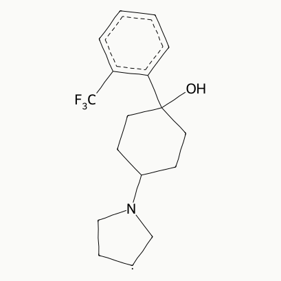 OC1(c2ccccc2C(F)(F)F)CCC(N2C[CH]CC2)CC1